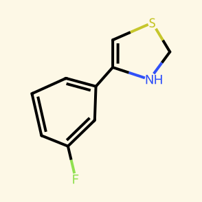 Fc1cccc(C2=CSCN2)c1